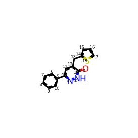 O=c1[nH]nc(-c2ccccc2)cc1Cc1cccs1